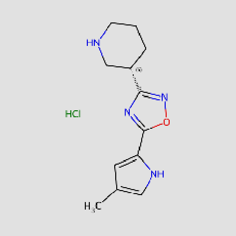 Cc1c[nH]c(-c2nc([C@H]3CCCNC3)no2)c1.Cl